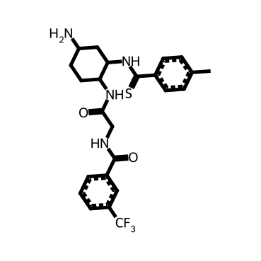 Cc1ccc(C(=S)NC2CC(N)CCC2NC(=O)CNC(=O)c2cccc(C(F)(F)F)c2)cc1